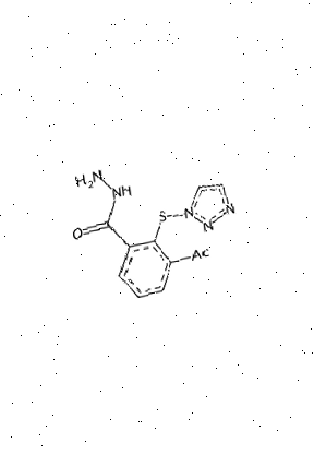 CC(=O)c1cccc(C(=O)NN)c1Sn1ccnn1